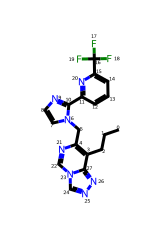 CCCc1c(Cn2ccnc2-c2cccc(C(F)(F)F)n2)ncn2cnnc12